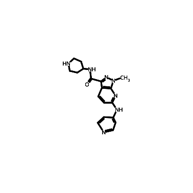 Cn1nc(C(=O)NC2CCNCC2)c2ccc(Nc3ccncc3)nc21